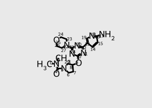 CN(C)C(=O)N1CCC(Oc2nc(-c3ccc(N)nc3)nc(N3CCOCC3)n2)C1